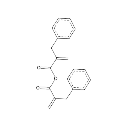 C=C(Cc1ccccc1)C(=O)OC(=O)C(=C)Cc1ccccc1